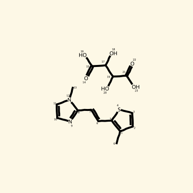 Cc1ccsc1C=Cc1nccn1C.O=C(O)C(O)C(O)C(=O)O